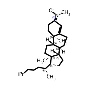 CC(C)CCC[C@@H](C)[C@H]1CC[C@H]2[C@@H]3CCC4=C/C(=[N+](\C)[O-])CC[C@]4(C)[C@H]3CC[C@]12C